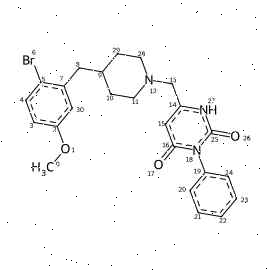 COc1ccc(Br)c(CC2CCN(Cc3cc(=O)n(-c4ccccc4)c(=O)[nH]3)CC2)c1